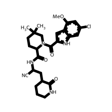 COc1cc(Cl)cc2[nH]c(C(=O)N3CC(C)(C)CCC3C(=O)NC(C#N)CC3CCCNC3=O)cc12